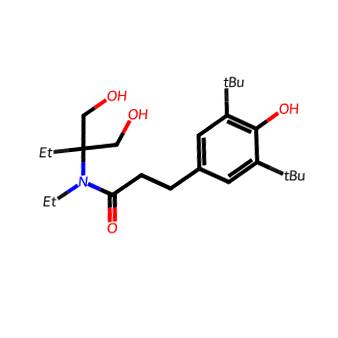 CCN(C(=O)CCc1cc(C(C)(C)C)c(O)c(C(C)(C)C)c1)C(CC)(CO)CO